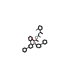 C=C(O/C(C)=C/C(=C)c1ccccc1C)/C(=C\C)N(c1cccc(-c2ccccc2)c1)c1ccc(-c2ccccc2)cc1-c1ccccc1